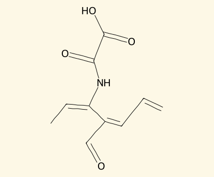 C=C/C=C(C=O)\C(=C/C)NC(=O)C(=O)O